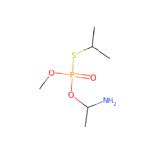 COP(=O)(OC(C)N)SC(C)C